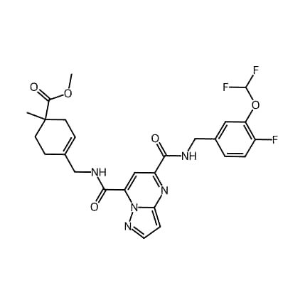 COC(=O)C1(C)CC=C(CNC(=O)c2cc(C(=O)NCc3ccc(F)c(OC(F)F)c3)nc3ccnn23)CC1